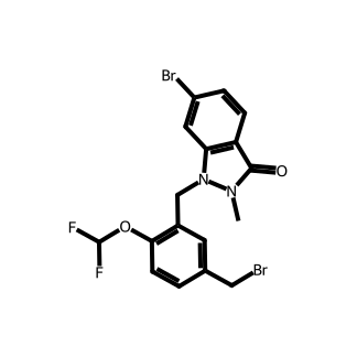 Cn1c(=O)c2ccc(Br)cc2n1Cc1cc(CBr)ccc1OC(F)F